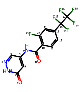 O=C(Nc1cn[nH]c(=O)c1)c1ccc(C(F)(F)C(F)(F)F)cc1F